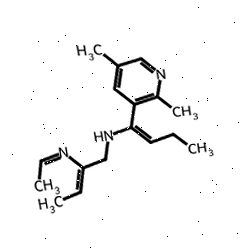 C/C=N\C(=C/C)CN/C(=C/CC)c1cc(C)cnc1C